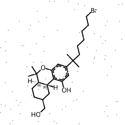 CC(C)(CCCCCCBr)c1cc(O)c2c(c1)OC(C)(C)[C@@H]1CCC(CO)C[C@@H]21